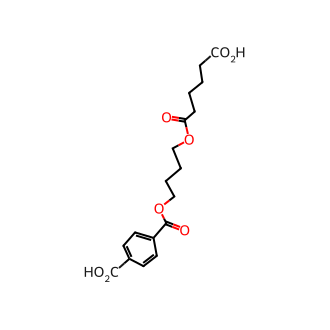 O=C(O)CCCCC(=O)OCCCCOC(=O)c1ccc(C(=O)O)cc1